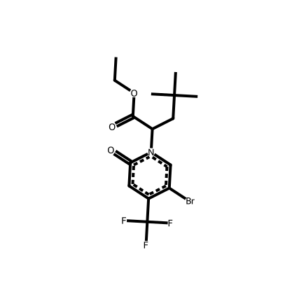 CCOC(=O)C(CC(C)(C)C)n1cc(Br)c(C(F)(F)F)cc1=O